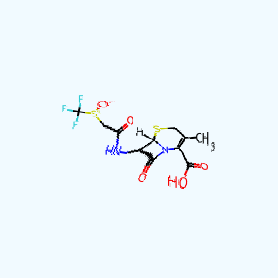 CC1=C(C(=O)O)N2C(=O)C(NC(=O)C[S+]([O-])C(F)(F)F)[C@@H]2SC1